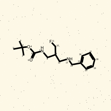 CC(C)(C)OC(=O)NCC(CF)CNCc1ccccc1